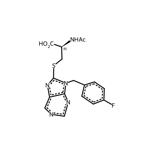 CC(=O)N[C@@H](CSc1nc2cncnc2n1Cc1ccc(F)cc1)C(=O)O